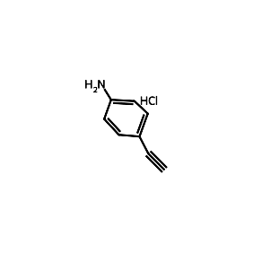 C#Cc1ccc(N)cc1.Cl